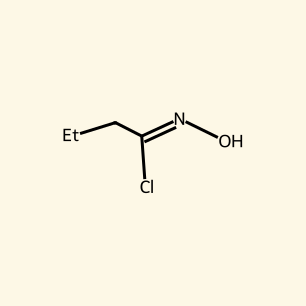 CCC/C(Cl)=N/O